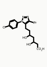 CC(C)c1nnn(-c2ccc(Cl)cc2)c1CCC(O)CC(O)CC(=O)O